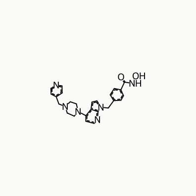 O=C(NO)c1ccc(Cn2ccc3c(N4CCN(Cc5ccncc5)CC4)ccnc32)cc1